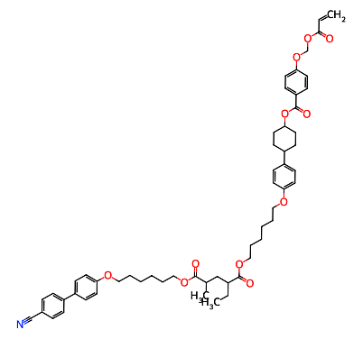 C=CC(=O)OCOc1ccc(C(=O)OC2CCC(c3ccc(OCCCCCCOC(=O)C(CC)CC(C)C(=O)OCCCCCCOc4ccc(-c5ccc(C#N)cc5)cc4)cc3)CC2)cc1